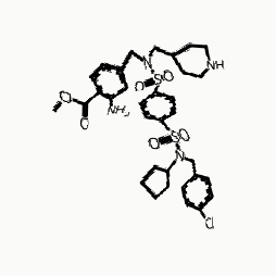 COC(=O)c1ccc(CN(CC2CCNCC2)S(=O)(=O)c2ccc(S(=O)(=O)N(Cc3ccc(Cl)cc3)C3CCCC3)cc2)cc1N